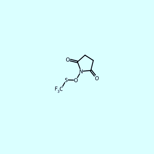 O=C1CCC(=O)N1OSC(F)(F)F